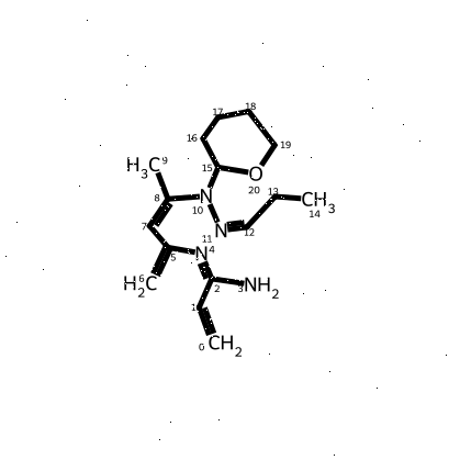 C=C/C(N)=N\C(=C)/C=C(/C)N(/N=C\CC)C1CCCCO1